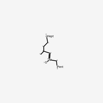 CCCCCCCCCC(C)C=[N+]([O-])CC(C)CCC